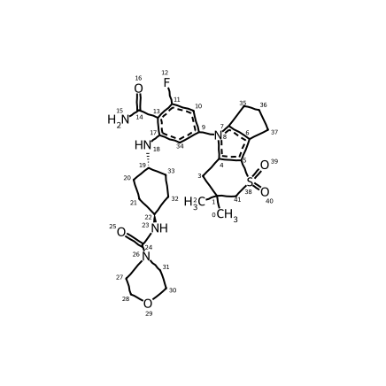 CC1(C)Cc2c(c3c(n2-c2cc(F)c(C(N)=O)c(N[C@H]4CC[C@H](NC(=O)N5CCOCC5)CC4)c2)CCC3)S(=O)(=O)C1